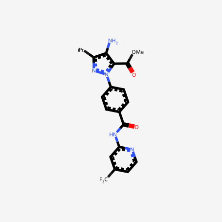 COC(=O)c1c(N)c(C(C)C)nn1-c1ccc(C(=O)Nc2cc(C(F)(F)F)ccn2)cc1